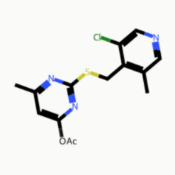 CC(=O)Oc1cc(C)nc(SCc2c(C)cncc2Cl)n1